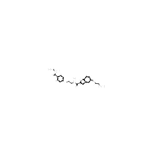 O=C(NO)c1ccc(OCCNC(=O)c2cc3cc(OCCO)ccc3o2)cc1